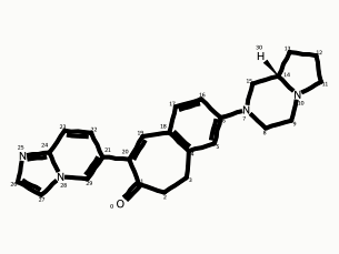 O=C1CCc2cc(N3CCN4CCC[C@H]4C3)ccc2C=C1c1ccc2nccn2c1